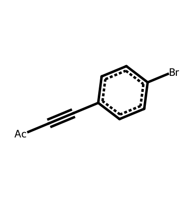 CC(=O)C#Cc1ccc(Br)cc1